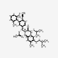 C#Cc1ncc([C@@H](CC(=O)O)NC(=O)[C@H](CC(C)C)n2cc(CCN(C)C)c(C)cc2=O)cc1-c1c(C)cccc1C